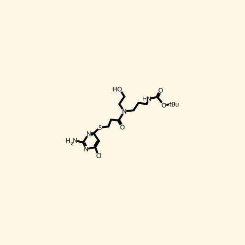 CC(C)(C)OC(=O)NCCCN(CCO)C(=O)CCSc1cc(Cl)nc(N)n1